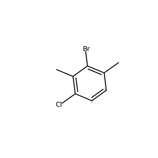 Cc1c[c]c(Cl)c(C)c1Br